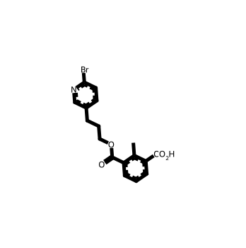 Cc1c(C(=O)O)cccc1C(=O)OCCCc1ccc(Br)nc1